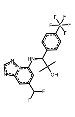 CC(C)(O)[C@@H](Nc1cc(C(F)F)cc2ncnn12)c1ccc(S(F)(F)(F)(F)F)cc1